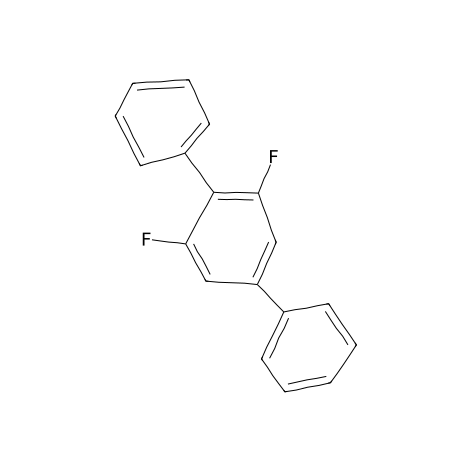 Fc1cc(-c2ccccc2)cc(F)c1-c1ccccc1